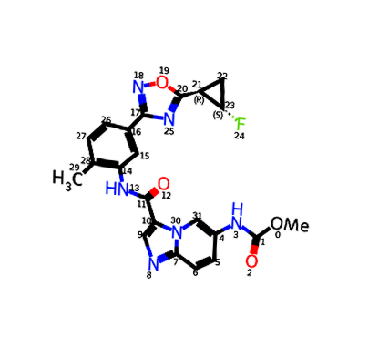 COC(=O)Nc1ccc2ncc(C(=O)Nc3cc(-c4noc([C@H]5C[C@@H]5F)n4)ccc3C)n2c1